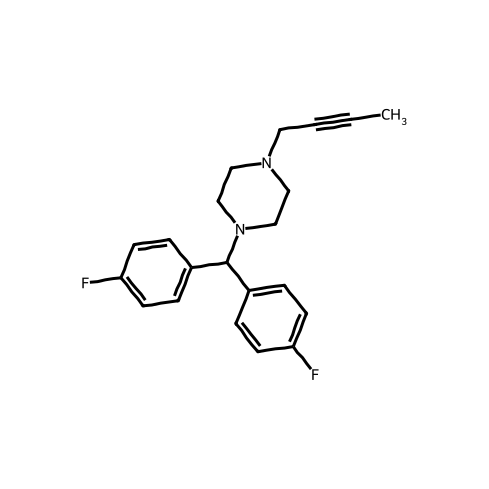 CC#CCN1CCN(C(c2ccc(F)cc2)c2ccc(F)cc2)CC1